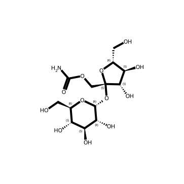 NC(=O)OC[C@@]1(O[C@H]2O[C@H](CO)[C@@H](O)[C@H](O)[C@H]2O)O[C@H](CO)[C@@H](O)[C@@H]1O